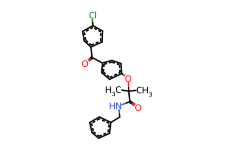 CC(C)(Oc1ccc(C(=O)c2ccc(Cl)cc2)cc1)C(=O)NCc1ccccc1